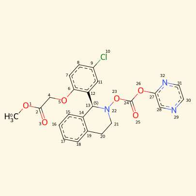 COC(=O)COc1ccc(Cl)cc1[C@@H]1c2ccccc2CCN1OC(=O)Oc1cnccn1